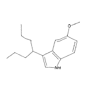 CCCC(CCC)c1c[nH]c2ccc(OC)cc12